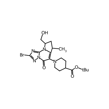 CC1CC(CO)n2c1c(N1CCC(C(=O)OC(C)(C)C)CC1)c(=O)n1nc(Br)nc21